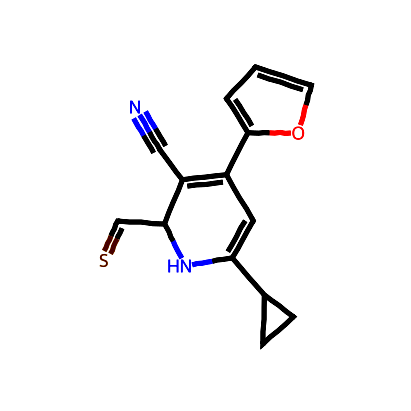 N#CC1=C(c2ccco2)C=C(C2CC2)NC1C=S